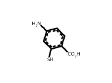 Nc1ccc(C(=O)O)c(S)c1